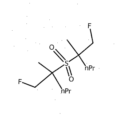 CCCC(C)(CF)S(=O)(=O)C(C)(CF)CCC